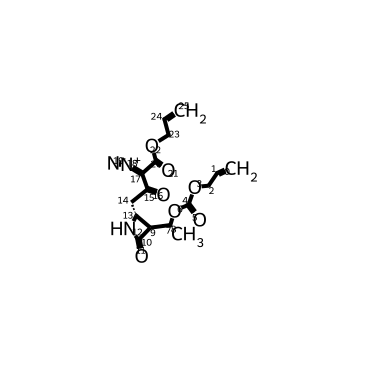 C=CCOC(=O)O[C@H](C)C1C(=O)N[C@@H]1CC(=O)C(=[N+]=[N-])C(=O)OCC=C